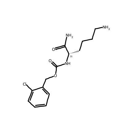 NCCCC[C@H](NC(=O)OCc1ccccc1Cl)C(N)=O